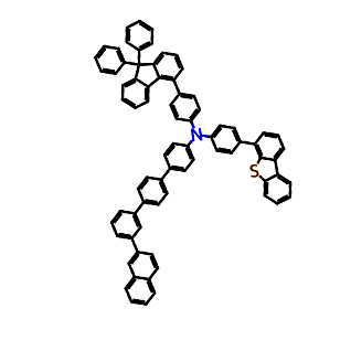 c1ccc(C2(c3ccccc3)c3ccccc3-c3c(-c4ccc(N(c5ccc(-c6ccc(-c7cccc(-c8ccc9ccccc9c8)c7)cc6)cc5)c5ccc(-c6cccc7c6sc6ccccc67)cc5)cc4)cccc32)cc1